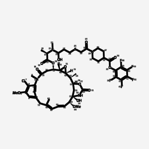 COc1cc2cc(c1Cl)N(C)C(=O)C[C@H](OC(=O)[C@@H](C)N(C)C(O)CCSCC(=O)N1CCC(C(=O)Oc3c(F)c(F)c(F)c(F)c3F)CC1)[C@]1(C)O[C@H]1[C@H](C)[C@@H]1C[C@@](O)(NC(=O)O1)[C@H](OC)/C=C/C=C(\C)C2